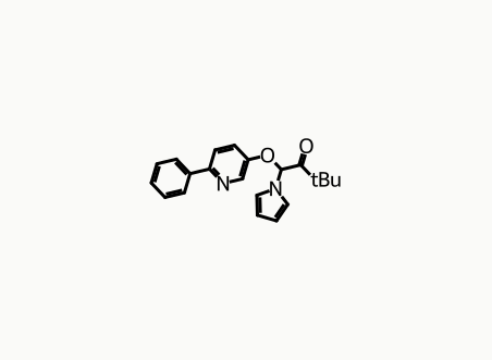 CC(C)(C)C(=O)C(Oc1ccc(-c2ccccc2)nc1)n1cccc1